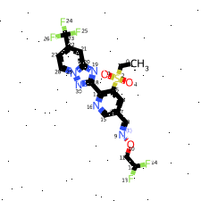 CCS(=O)(=O)c1cc(/C=N/OCC(F)F)cnc1-c1nc2cc(C(F)(F)F)ccn2n1